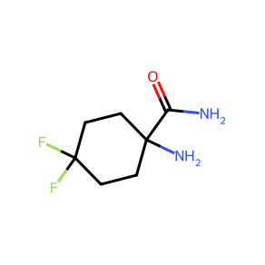 NC(=O)C1(N)CCC(F)(F)CC1